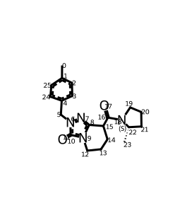 Cc1ccc(Cn2nc3n(c2=O)CCCC3C(=O)N2CCC[C@@H]2C)cc1